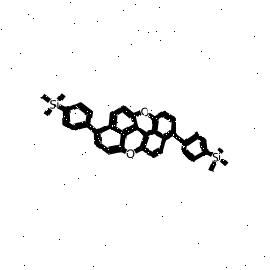 C[Si](C)(C)c1ccc(-c2ccc3oc4ccc5c(-c6ccc([Si](C)(C)C)cc6)ccc6oc7ccc2c3c7-c4c65)cc1